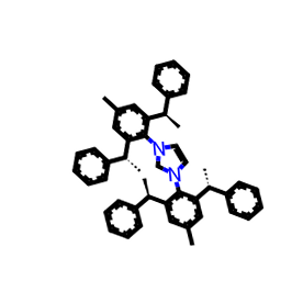 Cc1cc([C@H](C)c2ccccc2)c(N2C=CN(c3c([C@H](C)c4ccccc4)cc(C)cc3[C@H](C)c3ccccc3)C2)c([C@H](C)c2ccccc2)c1